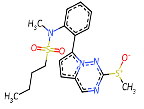 CCCCS(=O)(=O)N(C)c1ccccc1-c1ccc2cnc([S+](C)[O-])nn12